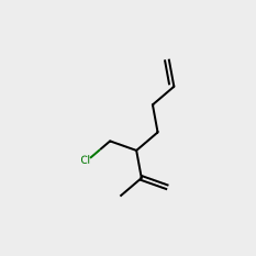 C=CCCC(CCl)C(=C)C